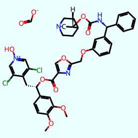 COc1ccc([C@H](Cc2c(Cl)c[n+](O)cc2Cl)OC(=O)c2coc(COc3cccc([C@@H](NC(=O)O[C@H]4CN5CCC4CC5)c4ccccc4)c3)n2)cc1OC.O=C[O-]